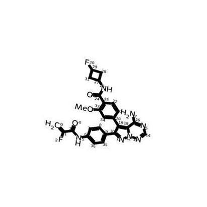 C=C(F)C(=O)Nc1ccc(-c2nn3ncnc(N)c3c2-c2ccc(C(=O)NC3CC(F)C3)c(OC)c2)cc1